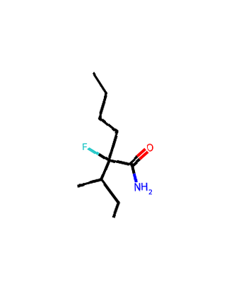 CCCCC(F)(C(N)=O)C(C)CC